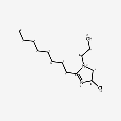 CCCCCCCCC1=NC(Cl)CN1CCO